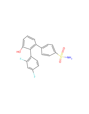 NS(=O)(=O)c1ccc(-c2[c]ccc(O)c2-c2ccc(F)cc2F)cc1